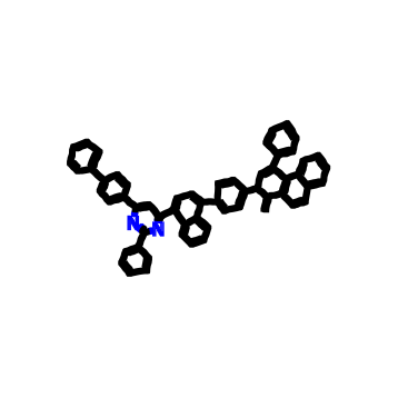 C=C1c2ccc3ccccc3c2C(c2ccccc2)=CC1c1ccc(-c2ccc(-c3cc(-c4ccc(-c5ccccc5)cc4)nc(-c4ccccc4)n3)c3ccccc23)cc1